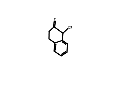 N#CC1C(=O)CCc2ccccc21